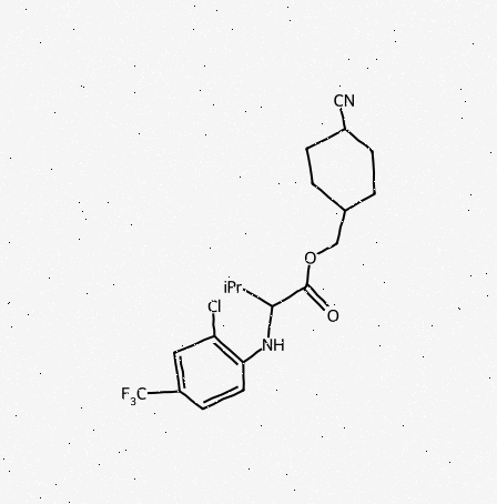 CC(C)C(Nc1ccc(C(F)(F)F)cc1Cl)C(=O)OCC1CCC(C#N)CC1